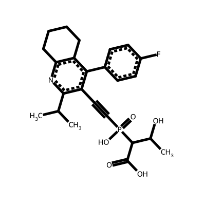 CC(C)c1nc2c(c(-c3ccc(F)cc3)c1C#CP(=O)(O)C(C(=O)O)C(C)O)CCCC2